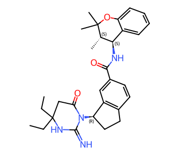 CCC1(CC)CC(=O)N([C@@H]2CCc3ccc(C(=O)N[C@@H]4c5ccccc5OC(C)(C)[C@H]4C)cc32)C(=N)N1